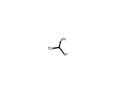 [CH2]CCC(C[CH2])C(C)C